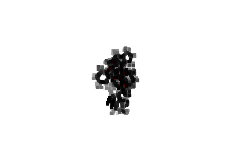 CC1Cn2ncc(S(=O)(=NC(c3ccccc3)(c3ccccc3)c3ccccc3)NC(=O)Nc3c4c(cc5c3[C@@H](C)C5)CCC4)c2O1